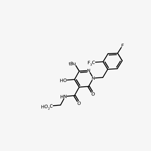 CC(C)(C)c1nn(Cc2ccc(F)cc2C(F)(F)F)c(=O)c(C(=O)NCC(=O)O)c1O